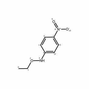 CCONc1ccc([N+](=O)[O-])cc1